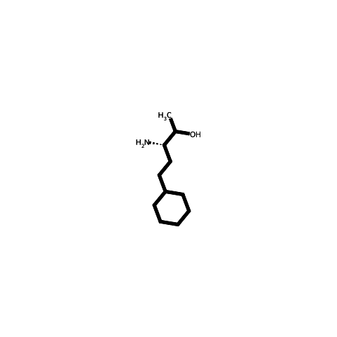 CC(O)[C@@H](N)CCC1CCCCC1